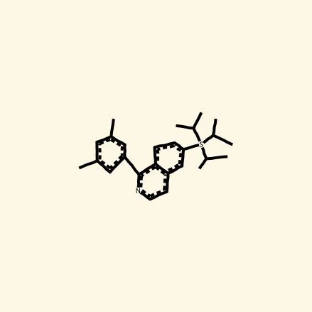 Cc1cc(C)cc(-c2nccc3cc(S(C(C)C)(C(C)C)C(C)C)ccc23)c1